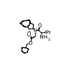 CC(C)C(N)C(=O)N(CC(=O)OCc1ccccc1)C1Cc2ccccc2C1